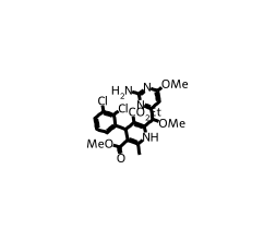 CCOC(=O)C1=C(C(OC)c2cc(OC)nc(N)n2)NC(C)=C(C(=O)OC)C1c1cccc(Cl)c1Cl